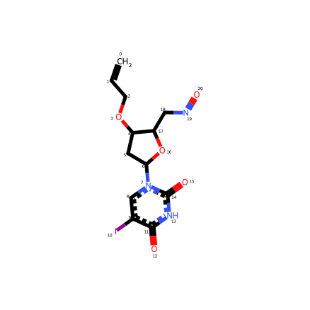 C=CCOC1CC(n2cc(I)c(=O)[nH]c2=O)OC1CN=O